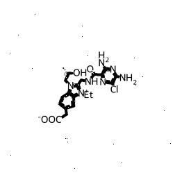 CC[n+]1c(CNC(=O)c2nc(Cl)c(N)nc2N)n(C[C@H](C)O)c2ccc(CC(=O)[O-])cc21